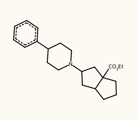 CCOC(=O)C12CCCC1CC(N1CCC(c3ccccc3)CC1)C2